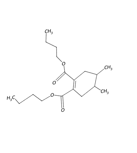 CCCCOC(=O)C1=C(C(=O)OCCCC)CC(C)C(C)C1